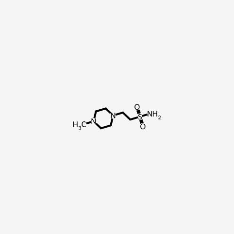 CN1CCN(CCS(N)(=O)=O)CC1